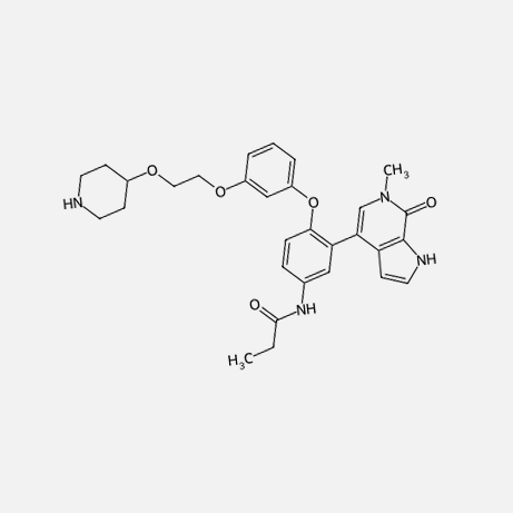 CCC(=O)Nc1ccc(Oc2cccc(OCCOC3CCNCC3)c2)c(-c2cn(C)c(=O)c3[nH]ccc23)c1